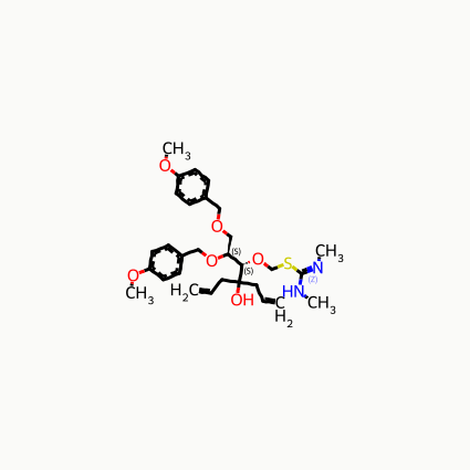 C=CCC(O)(CC=C)[C@@H](OCS/C(=N\C)NC)[C@H](COCc1ccc(OC)cc1)OCc1ccc(OC)cc1